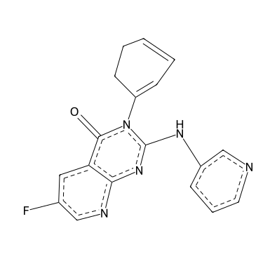 O=c1c2cc(F)cnc2nc(Nc2cccnc2)n1C1=CC=CCC1